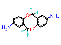 Nc1ccc2c(c1)C(F)(F)Oc1ccc(N)cc1C(F)(F)O2